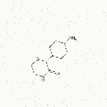 NC1CCC(C2OCCNC2=O)CC1